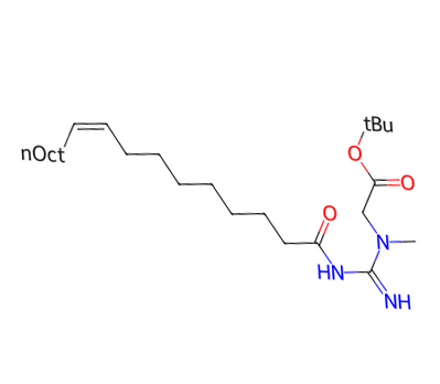 CCCCCCCC/C=C\CCCCCCCC(=O)NC(=N)N(C)CC(=O)OC(C)(C)C